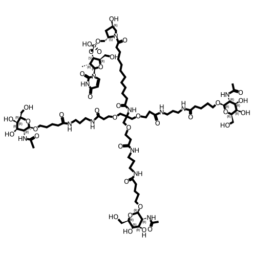 CC(=O)N[C@H]1[C@H](OCCCCC(=O)NCCCNC(=O)CCOCC(COCCC(=O)NCCCNC(=O)CCCCO[C@@H]2O[C@H](CO)[C@H](O)[C@H](O)[C@H]2NC(C)=O)(COCCC(=O)NCCCNC(=O)CCCCO[C@@H]2O[C@H](CO)[C@H](O)[C@H](O)[C@H]2NC(C)=O)NC(=O)CCCCCCCCCCC(=O)N2C[C@H](O)C[C@H]2COP(=O)(O)O[C@H]2[C@@H](C)[C@H](n3ccc(=O)[nH]c3=O)O[C@@H]2CO)O[C@H](CO)[C@H](O)[C@@H]1O